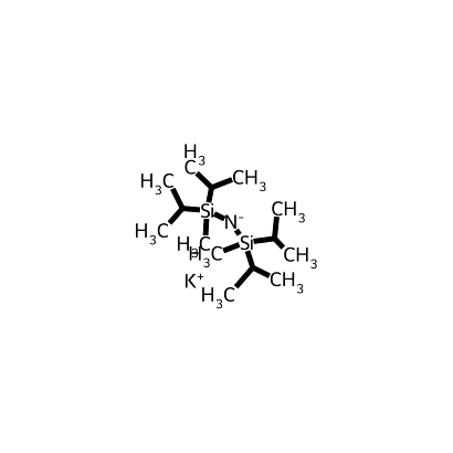 CC(C)[Si](C)([N-][Si](C)(C(C)C)C(C)C)C(C)C.[K+]